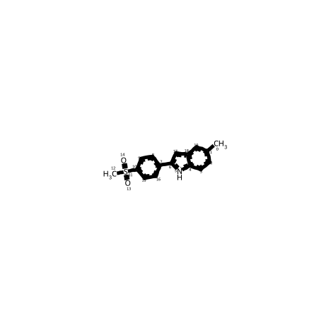 Cc1ccc2[nH]c(-c3ccc(S(C)(=O)=O)cc3)cc2c1